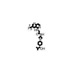 CC(C)C(O)[C@H]1CC[C@H](N2CC(NC(=O)CNc3nccc4ncc(C(F)(F)F)cc34)C2)CC1